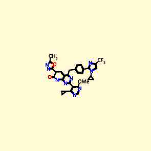 COc1ncnc(C2CC2)c1-c1nc(Cc2ccc(-c3nc(C(F)(F)F)cn3C3CC3)cc2)c2c(n1)=NC(=O)C(c1nnc(C)o1)C=2